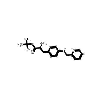 CC(C)(C)OC(=O)[C@@H](N)Cc1ccc(OCc2ccccn2)cc1